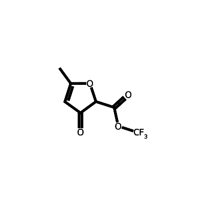 CC1=CC(=O)C(C(=O)OC(F)(F)F)O1